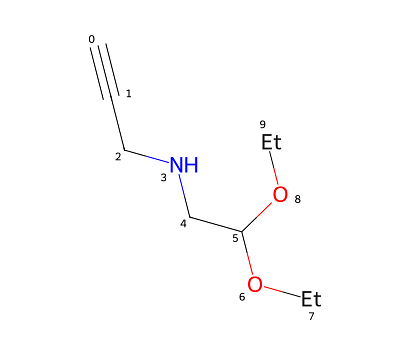 C#CCNCC(OCC)OCC